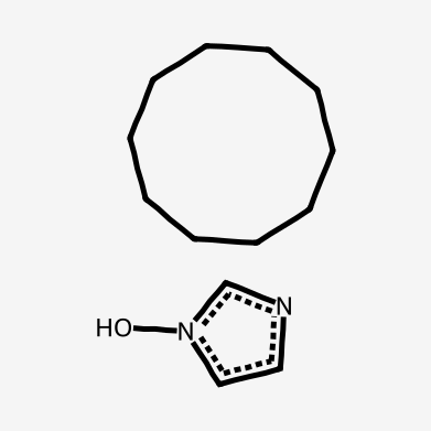 C1CCCCCCCCC1.On1ccnc1